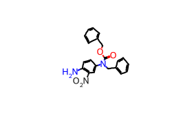 Nc1ccc(N(Cc2ccccc2)C(=O)OCc2ccccc2)cc1[N+](=O)[O-]